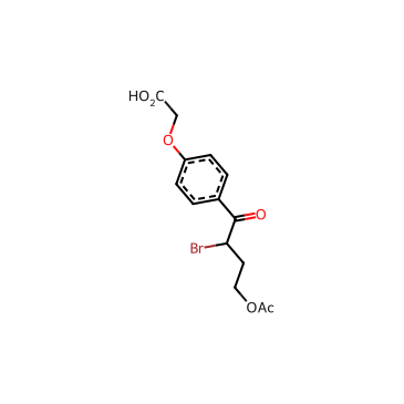 CC(=O)OCCC(Br)C(=O)c1ccc(OCC(=O)O)cc1